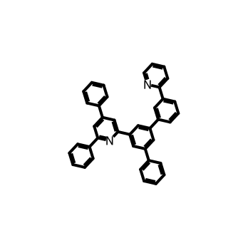 c1ccc(-c2cc(-c3cccc(-c4ccccn4)c3)cc(-c3cc(-c4ccccc4)cc(-c4ccccc4)n3)c2)cc1